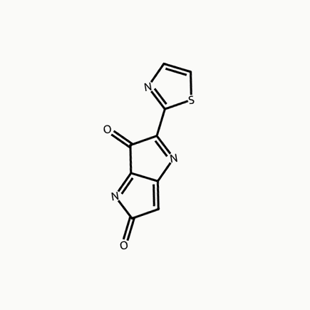 O=c1cc2nc(-c3nccs3)c(=O)c-2n1